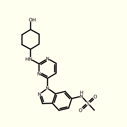 CS(=O)(=O)Nc1ccc2cnn(-c3ccnc(NC4CCC(O)CC4)n3)c2c1